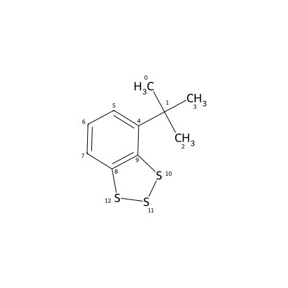 CC(C)(C)c1cccc2c1SSS2